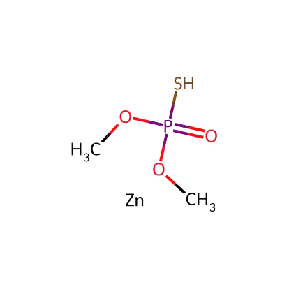 COP(=O)(S)OC.[Zn]